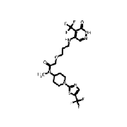 CN(C(=O)COCCCNc1cn[nH]c(=O)c1C(F)(F)F)C1CCN(c2ncc(C(F)(F)F)s2)CC1